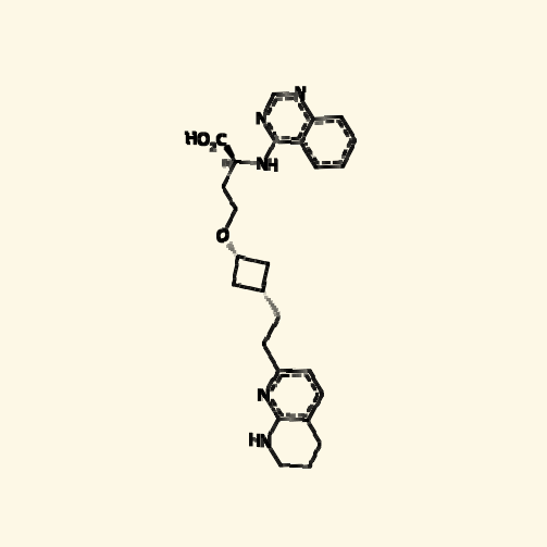 O=C(O)[C@H](CCO[C@H]1C[C@@H](CCc2ccc3c(n2)NCCC3)C1)Nc1ncnc2ccccc12